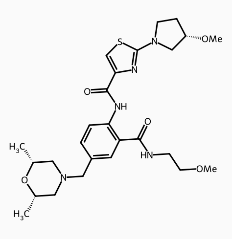 COCCNC(=O)c1cc(CN2C[C@@H](C)O[C@@H](C)C2)ccc1NC(=O)c1csc(N2CC[C@H](OC)C2)n1